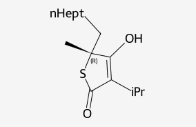 CCCCCCCC[C@@]1(C)SC(=O)C(C(C)C)=C1O